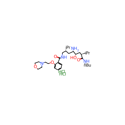 CCCCNC(=O)[C@@H](C[C@H](O)[C@@H](N)C[C@H](CNC(=O)c1ccccc1OCCN1CCOCC1)C(C)C)C(C)C.Cl.Cl